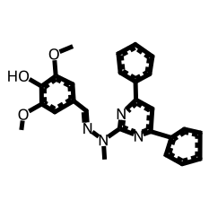 COc1cc(C=NN(C)c2nc(-c3ccccc3)cc(-c3ccccc3)n2)cc(OC)c1O